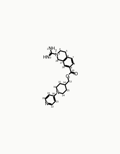 N=C(N)N1CCc2ccc(C(=O)OCC3CCN(c4ccncc4)CC3)cc2C1